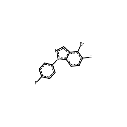 Fc1ccc(-n2ncc3c(Br)c(F)ccc32)cc1